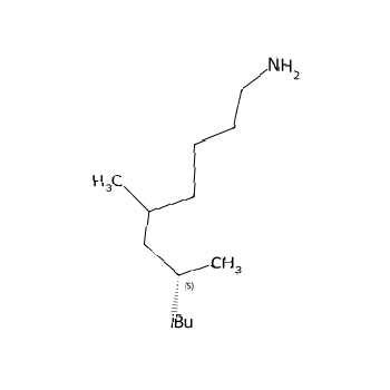 CCC(C)[C@@H](C)CC(C)CCCCN